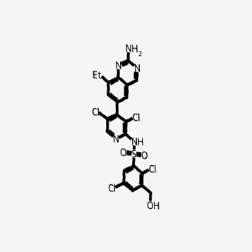 CCc1cc(-c2c(Cl)cnc(NS(=O)(=O)c3cc(Cl)cc(CO)c3Cl)c2Cl)cc2cnc(N)nc12